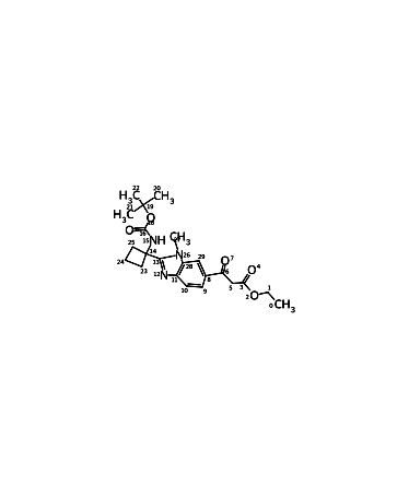 CCOC(=O)CC(=O)c1ccc2nc(C3(NC(=O)OC(C)(C)C)CCC3)n(C)c2c1